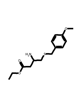 CCOC(=O)CC(N)CSCc1ccc(OC)cc1